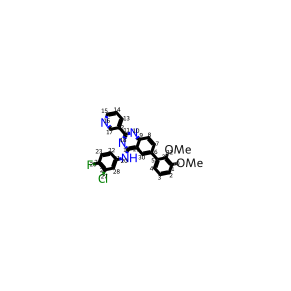 COc1cccc(-c2ccc3nc(-c4cccnc4)nc(Nc4ccc(F)c(Cl)c4)c3c2)c1OC